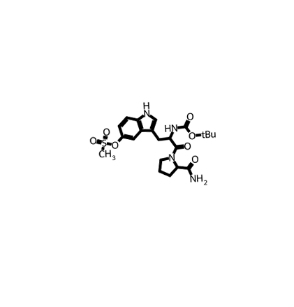 CC(C)(C)OC(=O)NC(Cc1c[nH]c2ccc(OS(C)(=O)=O)cc12)C(=O)N1CCCC1C(N)=O